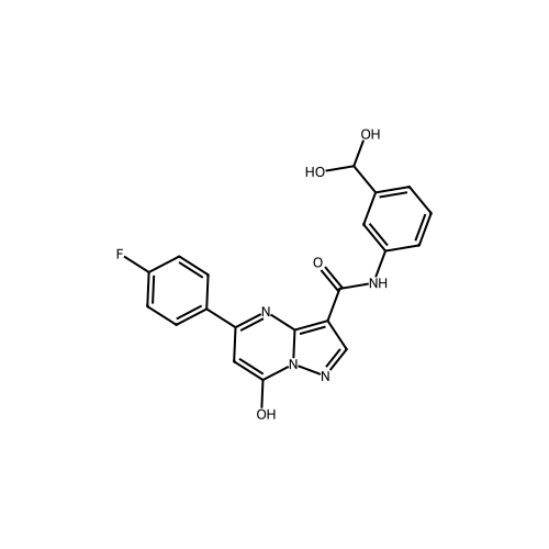 O=C(Nc1cccc(C(O)O)c1)c1cnn2c(O)cc(-c3ccc(F)cc3)nc12